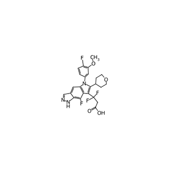 COc1cc(-n2c(C3CCOCC3)c(C(F)(F)CC(=O)O)c3c(F)c4[nH]ncc4cc32)ccc1F